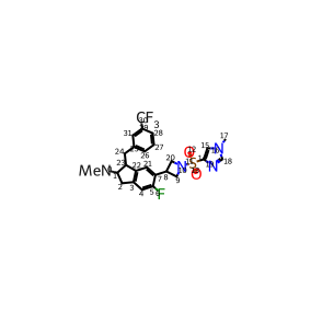 CNC1Cc2cc(F)c(C3CN(S(=O)(=O)c4cn(C)cn4)C3)cc2C1Cc1cccc(C(F)(F)F)c1